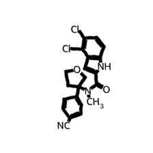 CN(C(=O)c1cc2c(Cl)c(Cl)ccc2[nH]1)C1(c2ccc(C#N)cc2)CCOC1